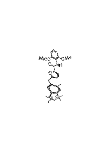 COc1cccc(OC)c1NC(=O)c1ccc(Cc2cc3c(cc2C)[Si](C)(C)C[Si]3(C)C)o1